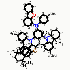 CC(C)(C)c1ccc(N(c2cc3c4c(c2)N2c5c(cc(C(C)(C)C)cc5C5(C)CCCCC25C)B4c2sc4cc5c(cc4c2N3c2ccc(C(C)(C)C)cc2-c2ccccc2)C(C)(C)CCC5(C)C)c2cccc3c2oc2ccccc23)cc1